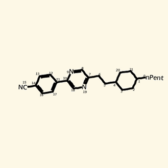 CCCCCC1CCC(CCc2cnc(-c3ccc(C#N)cc3)cn2)CC1